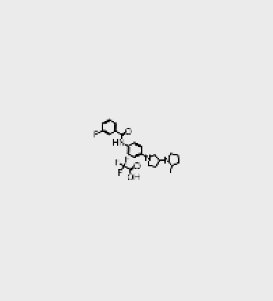 CC1CCCN1C1CCN(c2ccc(NC(=O)c3cccc(F)c3)cc2)C1.O=C(O)C(F)(F)F